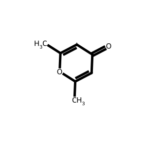 Cc1[c]c(=O)cc(C)o1